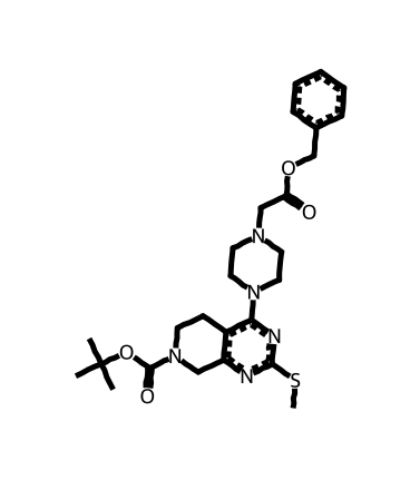 CSc1nc2c(c(N3CCN(CC(=O)OCc4ccccc4)CC3)n1)CCN(C(=O)OC(C)(C)C)C2